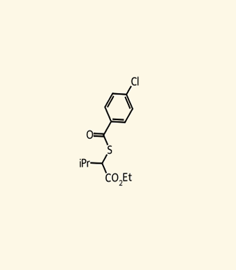 CCOC(=O)C(SC(=O)c1ccc(Cl)cc1)C(C)C